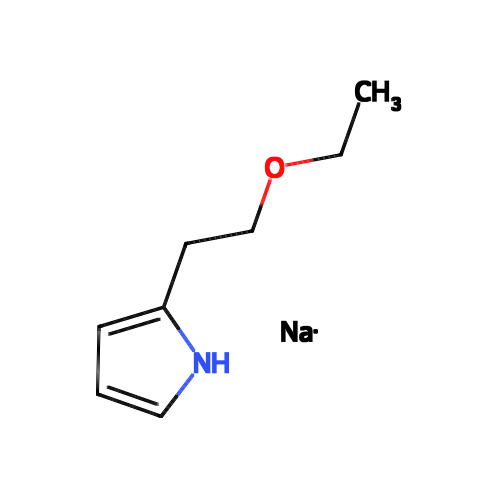 CCOCCc1ccc[nH]1.[Na]